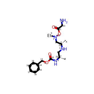 CCN(C[C@H](C)NC[C@H](C)NC(=O)OCc1ccccc1)OC(=O)CN